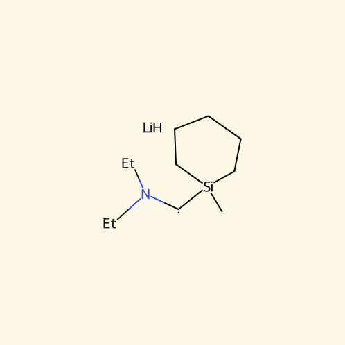 CCN([CH][Si]1(C)CCCCC1)CC.[LiH]